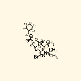 COC1c2c(c(Br)nn2C(C)C)CC2(CCN(C(=O)OCc3ccccc3)CC2)C1Br